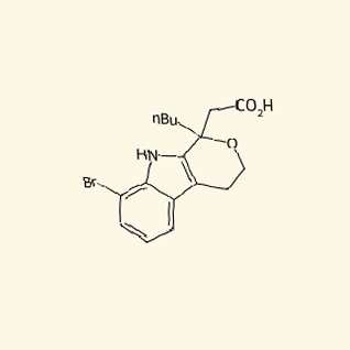 CCCCC1(CC(=O)O)OCCc2c1[nH]c1c(Br)cccc21